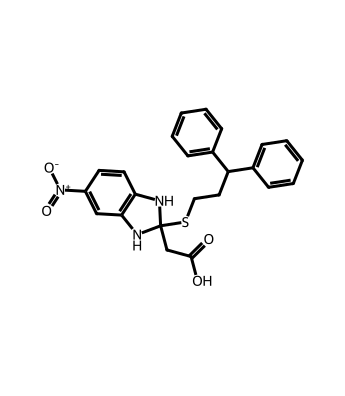 O=C(O)CC1(SCCC(c2ccccc2)c2ccccc2)Nc2ccc([N+](=O)[O-])cc2N1